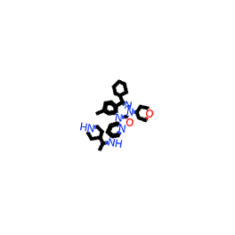 Cc1ccc2c(c1)N(c1ccc(NC(C)C3CCNCC3)cn1)C(=O)N(C1CCOCC1)N=C2C1CCCCC1